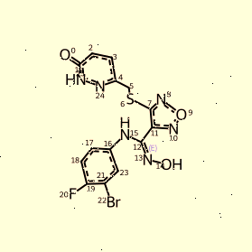 O=c1ccc(CSc2nonc2/C(=N\O)Nc2ccc(F)c(Br)c2)n[nH]1